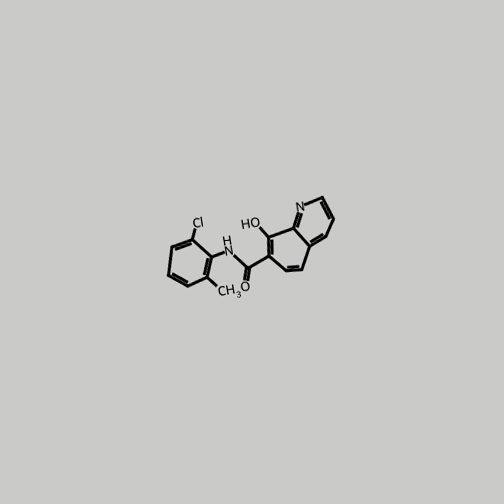 Cc1cccc(Cl)c1NC(=O)c1ccc2cccnc2c1O